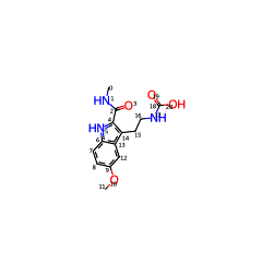 CNC(=O)c1[nH]c2ccc(OC)cc2c1CCNC(=O)O